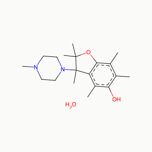 Cc1c(C)c2c(c(C)c1O)C(C)(N1CCN(C)CC1)C(C)(C)O2.O